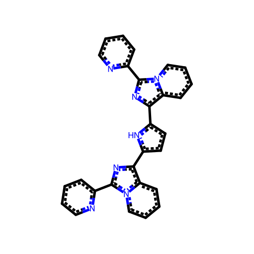 c1ccc(-c2nc(-c3ccc(-c4nc(-c5ccccn5)n5ccccc45)[nH]3)c3ccccn23)nc1